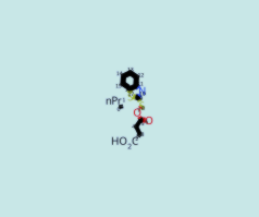 CCCC.O=C(O)CCC(=O)OSc1nc2ccccc2s1